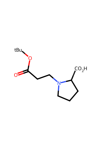 CC(C)(C)OC(=O)CCN1CCCC1C(=O)O